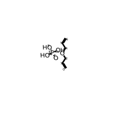 C=CCOCC=C.O=P(O)(O)O